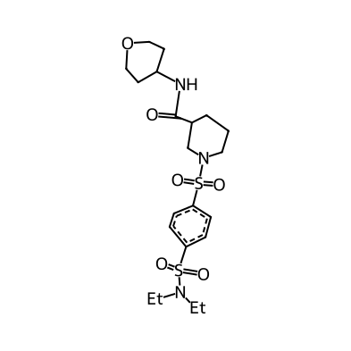 CCN(CC)S(=O)(=O)c1ccc(S(=O)(=O)N2CCCC(C(=O)NC3CCOCC3)C2)cc1